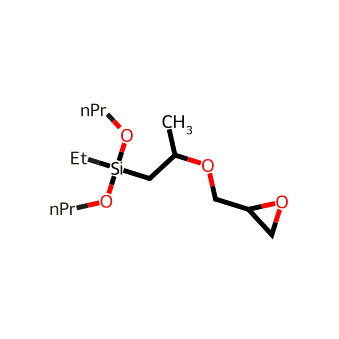 CCCO[Si](CC)(CC(C)OCC1CO1)OCCC